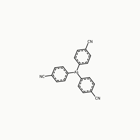 N#Cc1ccc([As](c2ccc(C#N)cc2)c2ccc(C#N)cc2)cc1